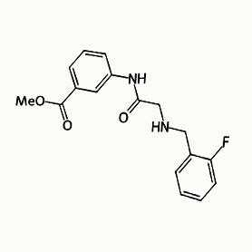 COC(=O)c1cccc(NC(=O)CNCc2ccccc2F)c1